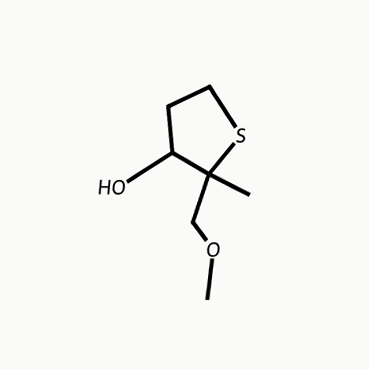 COCC1(C)SCCC1O